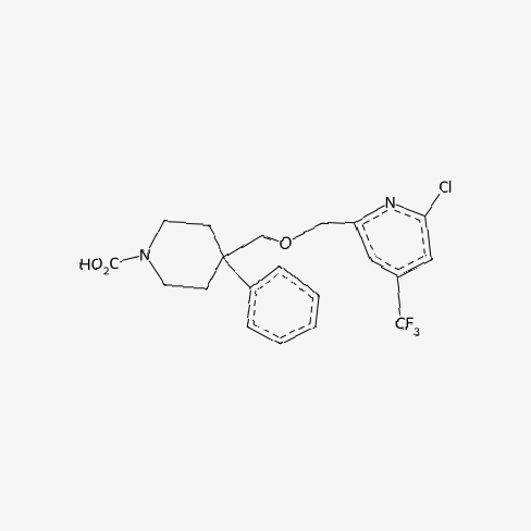 O=C(O)N1CCC(COCc2cc(C(F)(F)F)cc(Cl)n2)(c2ccccc2)CC1